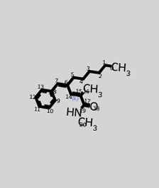 CCCCCCC(=Cc1ccccc1)/C=C(\C)C(=O)NC